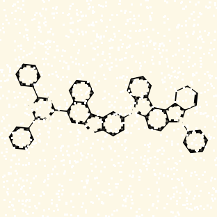 C1=Cc2c(c3c4c5ccccc5n(-c5ccc6sc7cc(-c8nc(-c9ccccc9)nc(-c9ccccc9)n8)c8ccccc8c7c6c5)c4ccc3n2-c2ccccc2)CC1